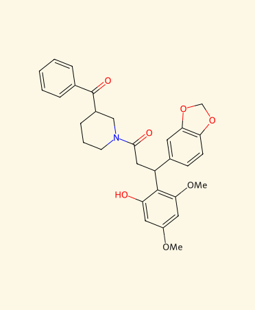 COc1cc(O)c(C(CC(=O)N2CCCC(C(=O)c3ccccc3)C2)c2ccc3c(c2)OCO3)c(OC)c1